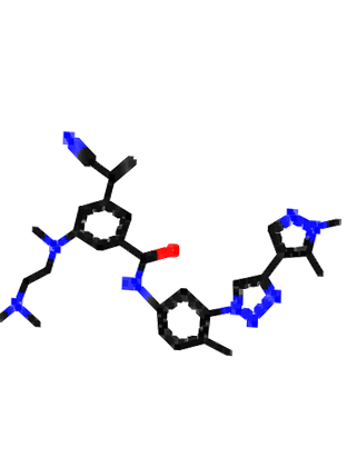 C=C(C#N)c1cc(C(=O)Nc2ccc(C)c(-n3cc(-c4cnn(C)c4C)nn3)c2)cc(N(C)CCN(C)C)c1